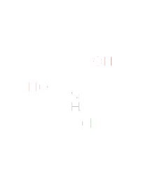 O[SiH](O)Cl